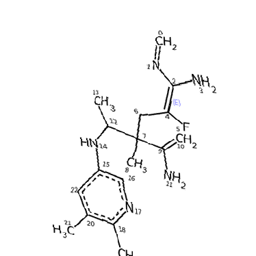 C=N/C(N)=C(/F)CC(C)(C(=C)N)C(C)Nc1cnc(C)c(C)c1